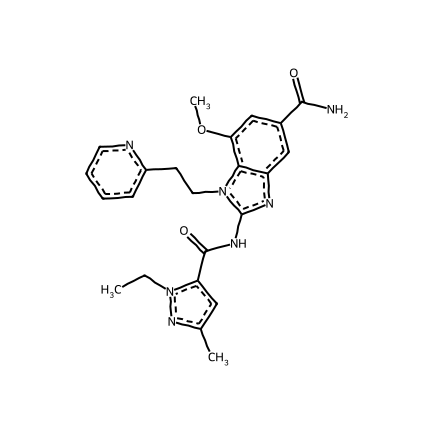 CCn1nc(C)cc1C(=O)Nc1nc2cc(C(N)=O)cc(OC)c2n1CCc1ccccn1